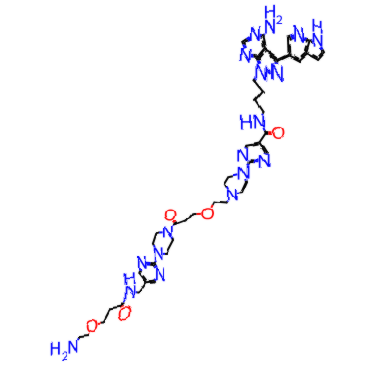 NCCOCCC(=O)NCc1cnc(N2CCN(C(=O)CCOCCN3CCN(c4ncc(C(=O)NCCCCn5nc(-c6cnc7[nH]ccc7c6)c6c(N)ncnc65)cn4)CC3)CC2)nc1